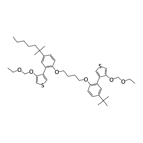 CCCCCC(C)(C)c1ccc(OCCCCOc2ccc(C(C)(C)C)cc2-c2cscc2OCOCC)c(-c2cscc2OCOCC)c1